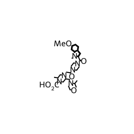 COc1ccc2cc(C(=O)N3CCN(C(=O)CN4CC(C)N(C(=O)O)CC4CN4CCOCC4C)CC3)n(C)c2c1